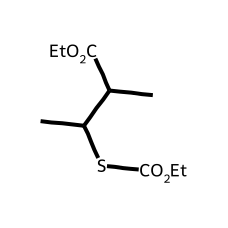 CCOC(=O)SC(C)C(C)C(=O)OCC